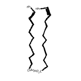 CCC/C=C\CCCCCCCCC(=O)O.CCCC=CCCCCCCCOC(C)=O